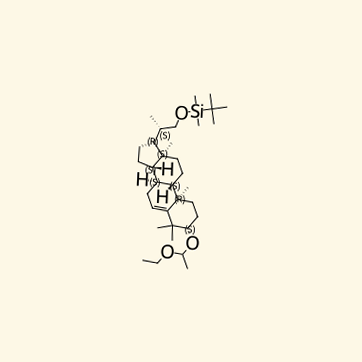 CCOC(C)O[C@H]1CC[C@@]2(C)C(=CC[C@H]3[C@@H]4CC[C@H]([C@H](C)CO[Si](C)(C)C(C)(C)C)[C@@]4(C)CC[C@@H]32)C1(C)C